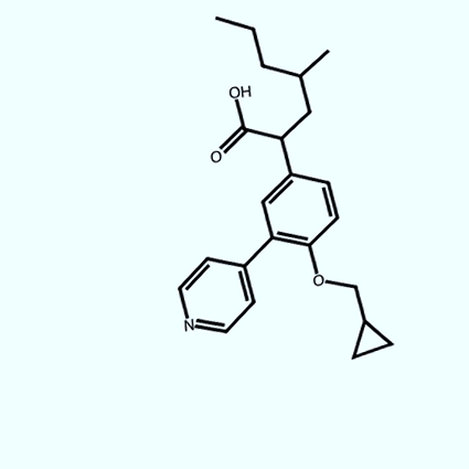 CCCC(C)CC(C(=O)O)c1ccc(OCC2CC2)c(-c2ccncc2)c1